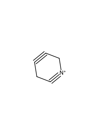 C1#CC[N+]#CC1